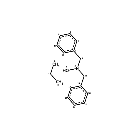 CCC.ON(Cc1ccccc1)Cc1ccccc1